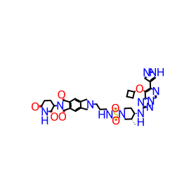 C[C@@H]1CN(S(=O)(=O)NCCCN2Cc3cc4c(cc3C2)C(=O)N(C2CCC(=O)NC2=O)C4=O)CC[C@@H]1Nc1nc2c(OC3CCC3)c(-c3cn[nH]c3)ncn2n1